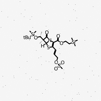 C[C@@H](O[Si](C)(C)C(C)(C)C)[C@@]1(C)C(=O)N2C(C(=O)OCC[Si](C)(C)C)=C(/C=C/COS(C)(=O)=O)S[C@@H]21